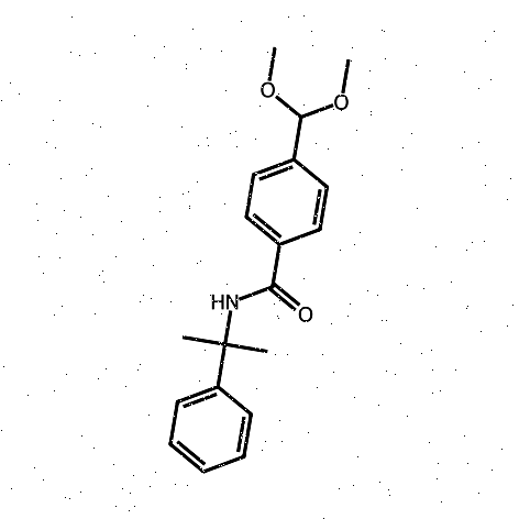 COC(OC)c1ccc(C(=O)NC(C)(C)c2ccccc2)cc1